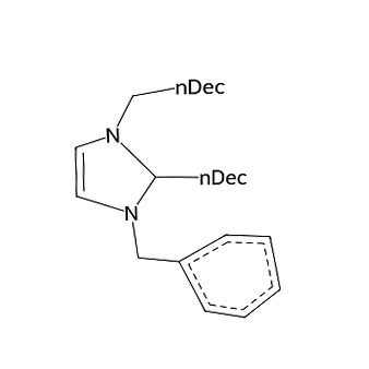 CCCCCCCCCCCN1C=CN(Cc2ccccc2)C1CCCCCCCCCC